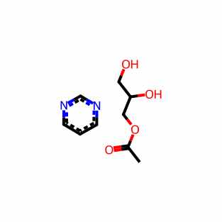 CC(=O)OCC(O)CO.c1cncnc1